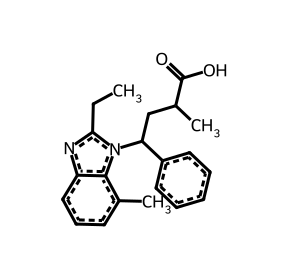 CCc1nc2cccc(C)c2n1C(CC(C)C(=O)O)c1ccccc1